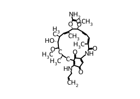 C=CCNC1=C2C[C@@H](C)CC(OC)[C@H](O)[C@@H](C)/C=C(\C)[C@H](OC(N)=O)[C@@H](OC)/C=C\C=C(/C)C(=O)NC(=CC1=O)C2=O